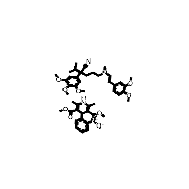 COC(=O)C1=C(C)NC(C)=C(C(=O)OC)C1c1ccccc1[N+](=O)[O-].COc1ccc(CCN(C)CCCC(C#N)(c2cc(OC)c(OC)c(OC)c2)C(C)C)cc1OC